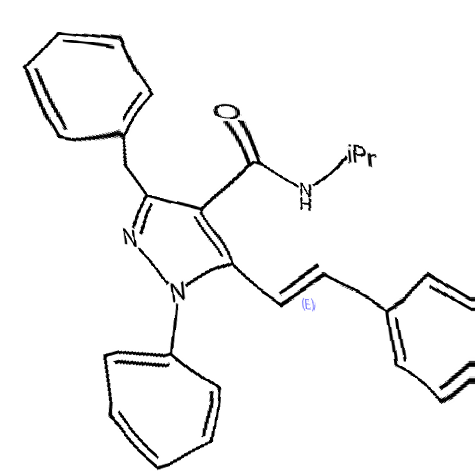 CC(C)NC(=O)c1c(-c2ccccc2)nn(-c2ccccc2)c1/C=C/c1ccccc1